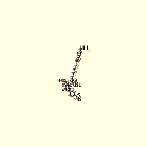 Cc1ncsc1-c1ccc(CNC(=O)[C@@H]2C[C@@H](O)CN2C(=O)C(NC(=O)CCCCCCCCCOCCOCCN)C(C)(C)C)cc1